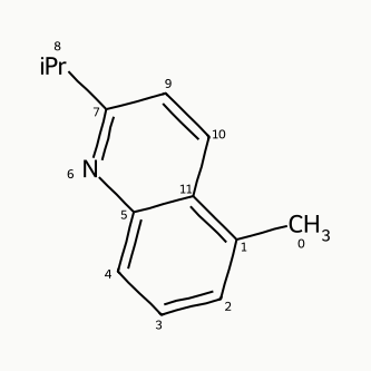 Cc1cccc2nc(C(C)C)ccc12